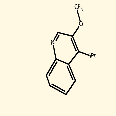 CC(C)c1c(OC(F)(F)F)cnc2ccccc12